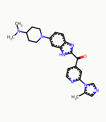 Cc1cncn1-c1cc(C(=O)c2nc3ccc(N4CCC(N(C)C)CC4)cc3[nH]2)ccn1